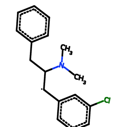 CN(C)C([CH]c1cccc(Cl)c1)Cc1ccccc1